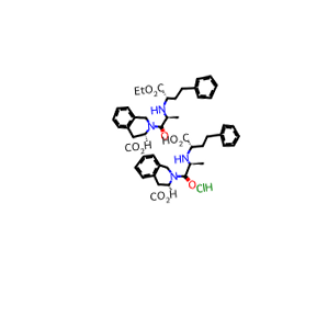 CCOC(=O)[C@H](CCc1ccccc1)N[C@@H](C)C(=O)N1Cc2ccccc2C[C@H]1C(=O)O.C[C@H](N[C@@H](CCc1ccccc1)C(=O)O)C(=O)N1Cc2ccccc2C[C@H]1C(=O)O.Cl